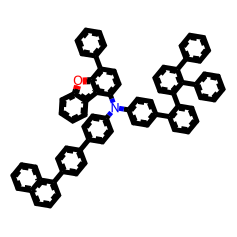 c1ccc(-c2cccc(-c3ccccc3-c3ccc(N(c4ccc(-c5ccc(-c6cccc7ccccc67)cc5)cc4)c4ccc(-c5ccccc5)c5oc6ccccc6c45)cc3)c2-c2ccccc2)cc1